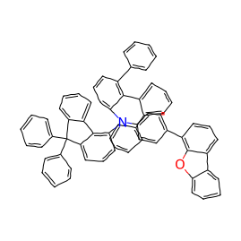 c1ccc(-c2ccccc2-c2c(-c3ccccc3)cccc2N(c2ccc(-c3cccc4c3oc3ccccc34)cc2)c2cccc3c2-c2ccccc2C3(c2ccccc2)c2ccccc2)cc1